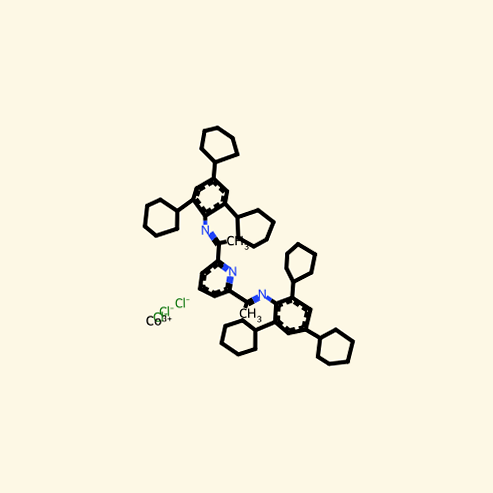 CC(=Nc1c(C2CCCCC2)cc(C2CCCCC2)cc1C1CCCCC1)c1cccc(C(C)=Nc2c(C3CCCCC3)cc(C3CCCCC3)cc2C2CCCCC2)n1.[Cl-].[Cl-].[Cl-].[Co+3]